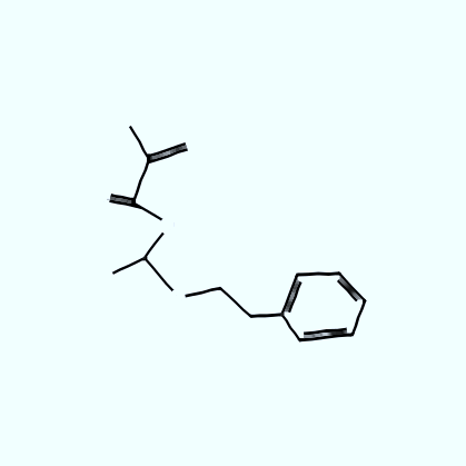 C=C(C)C(=S)OC(C)SCCc1ccccc1